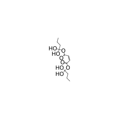 CCCC(O)(O)OC(=O)/C=C\C(=O)OC(O)(O)CCC